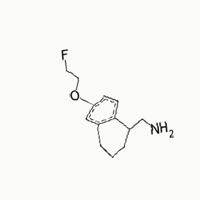 NCC1CCCc2cc(OCCF)ccc21